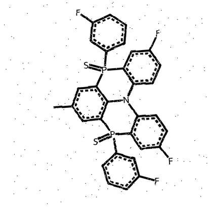 Cc1cc2c3c(c1)P(=S)(c1cccc(F)c1)c1cc(F)ccc1N3c1ccc(F)cc1P2(=S)c1cccc(F)c1